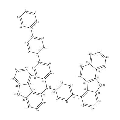 c1ccc(-c2ccc(-c3ccc(N(c4ccc(-c5cccc6oc7c8ccccc8ccc7c56)cc4)c4cccc5oc6ccccc6c45)cc3)cc2)cc1